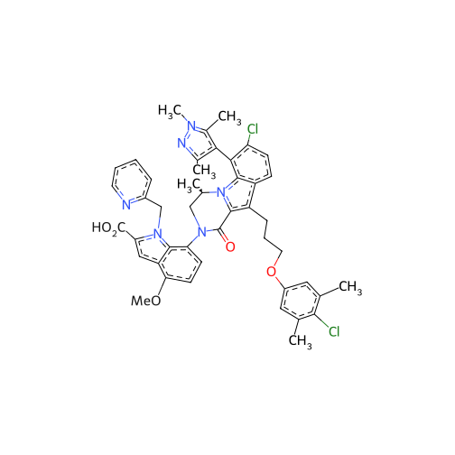 COc1ccc(N2C[C@@H](C)n3c(c(CCCOc4cc(C)c(Cl)c(C)c4)c4ccc(Cl)c(-c5c(C)nn(C)c5C)c43)C2=O)c2c1cc(C(=O)O)n2Cc1ccccn1